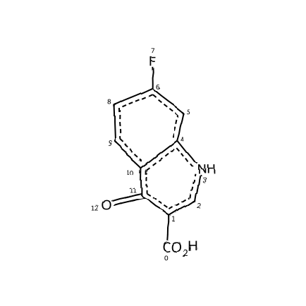 O=C(O)c1c[nH]c2cc(F)ccc2c1=O